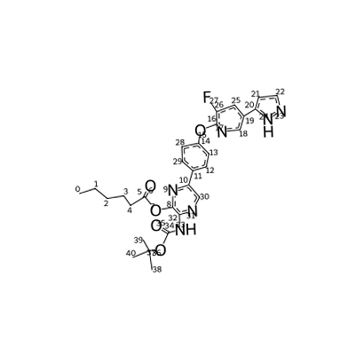 CCCCCC(=O)Oc1nc(-c2ccc(Oc3ncc(-c4ccn[nH]4)cc3F)cc2)cnc1NC(=O)OC(C)(C)C